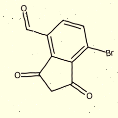 O=Cc1ccc(Br)c2c1C(=O)CC2=O